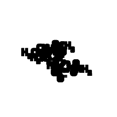 CC(C)(C)[Si](C)(C)OC[C@H](COS(C)(=O)=O)Nc1c(Br)cc(S(N)(=O)=O)cc1[N+](=O)[O-]